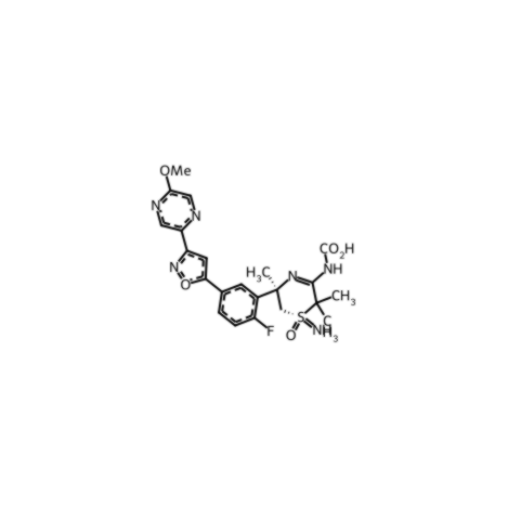 COc1cnc(-c2cc(-c3ccc(F)c([C@]4(C)C[S@](=N)(=O)C(C)(C)C(NC(=O)O)=N4)c3)on2)cn1